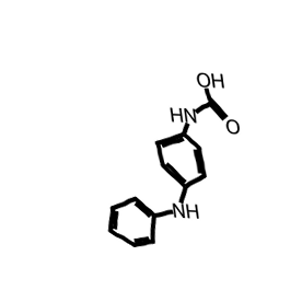 O=C(O)Nc1ccc(Nc2ccccc2)cc1